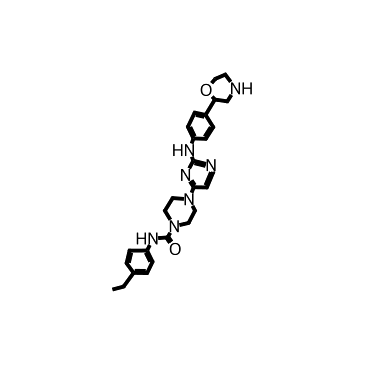 CCc1ccc(NC(=O)N2CCN(c3ccnc(Nc4ccc(C5CNCCO5)cc4)n3)CC2)cc1